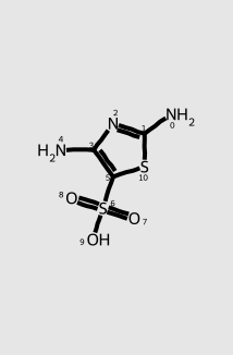 Nc1nc(N)c(S(=O)(=O)O)s1